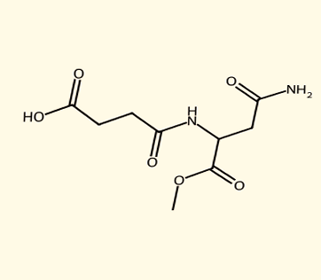 COC(=O)C(CC(N)=O)NC(=O)CCC(=O)O